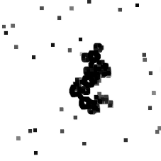 COc1ccc(CN(c2ncns2)S(=O)(=O)c2cc(F)c(Oc3ncccc3-c3ccc4onc(N)c4c3)cc2F)c(OC)c1